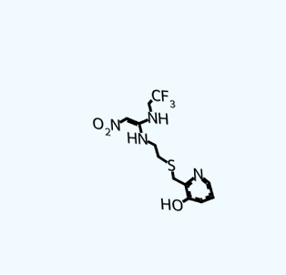 O=[N+]([O-])/C=C(\NCCSCc1ncccc1O)NCC(F)(F)F